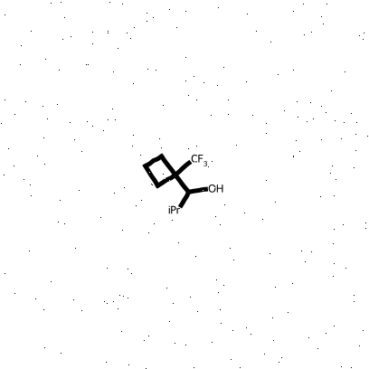 CC(C)C(O)C1(C(F)(F)F)CCC1